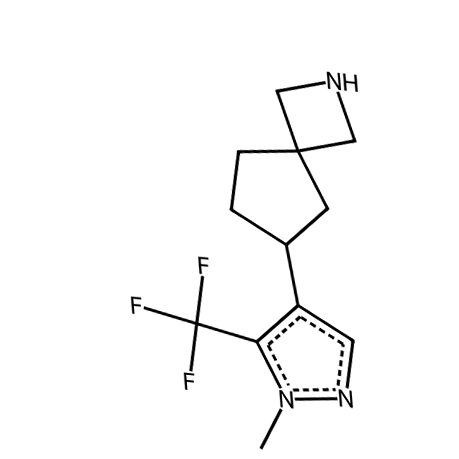 Cn1ncc(C2CCC3(CNC3)C2)c1C(F)(F)F